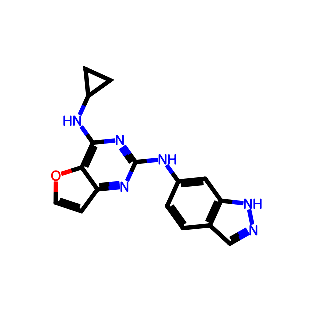 c1cc2nc(Nc3ccc4cn[nH]c4c3)nc(NC3CC3)c2o1